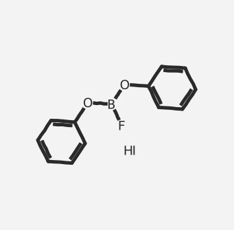 FB(Oc1ccccc1)Oc1ccccc1.I